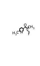 Cc1ccc(C(=O)N(C)CCF)cn1